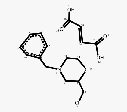 ClCC1CN(Cc2ccccc2)CCO1.O=C(O)/C=C/C(=O)O